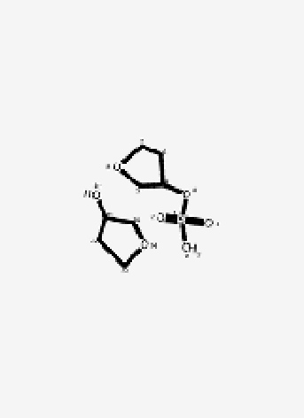 CS(=O)(=O)OC1CCOC1.OC1CCOC1